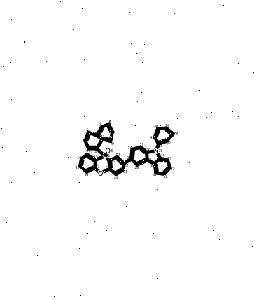 O=P1(c2cccc3ccccc23)c2ccccc2Oc2ccc(-c3ccc4c(c3)c3ccccc3n4-c3ccccc3)cc21